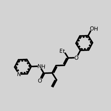 C=C/C(=C\C=C(/CC)Oc1ccc(O)cc1)C(=O)Nc1cccnc1